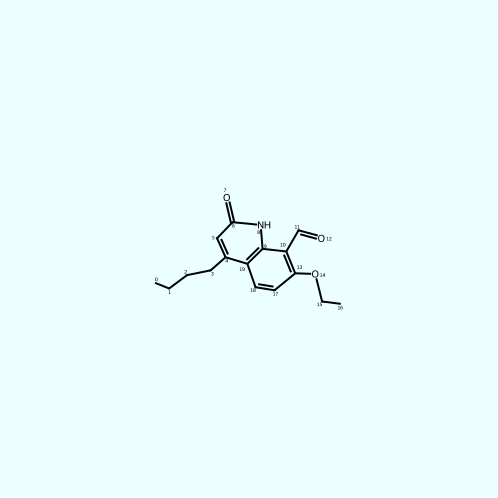 CCCCc1cc(=O)[nH]c2c(C=O)c(OCC)ccc12